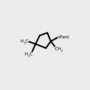 CCCCCC1(C)CCC(C)(C)C1